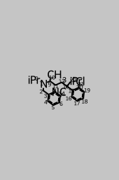 CC(C)N(Cc1ccccc1)C(C)CCC(C#N)(c1ccccc1Cl)C(C)C